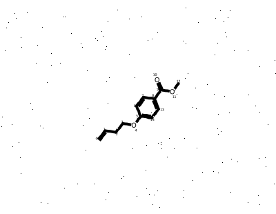 C=CCCOc1ccc(C(=O)OC)cc1